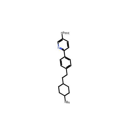 CCCCCc1ccc(-c2ccc(CCC3CCC(CCCC)CC3)cc2)nc1